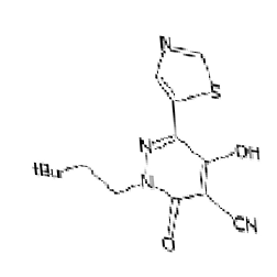 CC(C)(C)CCn1nc(-c2cncs2)c(O)c(C#N)c1=O